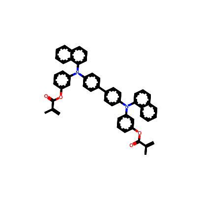 C=C(C)C(=O)Oc1cccc(N(c2ccc(-c3ccc(N(c4cccc(OC(=O)C(=C)C)c4)c4cccc5ccccc45)cc3)cc2)c2cccc3ccccc23)c1